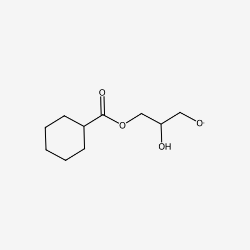 [O]CC(O)COC(=O)C1CCCCC1